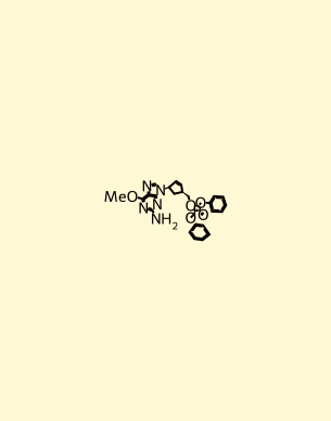 COc1nc(N)nc2c1ncn2[C@H]1C=C[C@@H](COP(=O)(Oc2ccccc2)Oc2ccccc2)C1